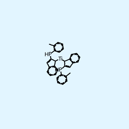 Cc1ccccc1PC1=Cc2ccccc2[CH]1[Ti][CH]1C(Pc2ccccc2C)=Cc2ccccc21